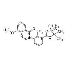 COc1cccc2c(=O)n(-c3cccc(B4OC(C)(C)C(C)(C)O4)c3C)cnc12